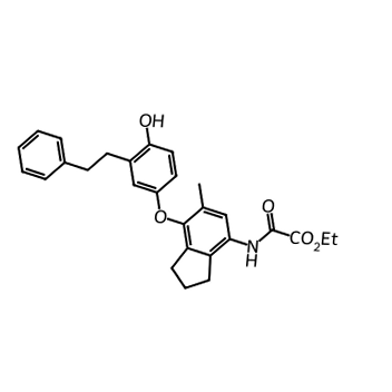 CCOC(=O)C(=O)Nc1cc(C)c(Oc2ccc(O)c(CCc3ccccc3)c2)c2c1CCC2